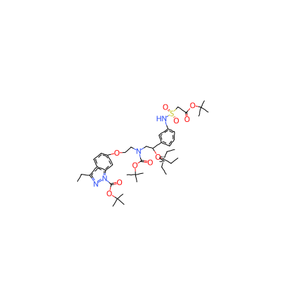 CCc1nn(C(=O)OC(C)(C)C)c2cc(OCCN(CC(O[Si](CC)(CC)CC)c3cccc(NS(=O)(=O)CC(=O)OC(C)(C)C)c3)C(=O)OC(C)(C)C)ccc12